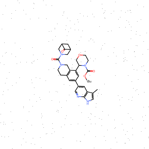 Cc1c[nH]c2ncc(-c3cc4c(c(C5COCCN5C(=O)OC(C)(C)C)c3)CN(C(=O)N3CC5CC(C3)C5=O)CC4)cc12